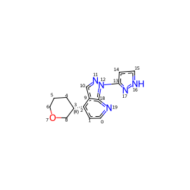 c1cc([C@H]2CCCOC2)c2cnn(-c3cc[nH]n3)c2n1